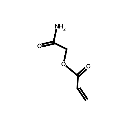 C=CC(=O)OCC(N)=O